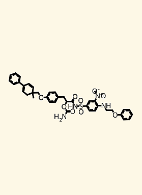 CC1(COc2ccc(CC(OC(N)=O)C(=O)NS(=O)(=O)c3ccc(NCCOc4ccccc4)c([N+](=O)[O-])c3)cc2)C=CC(c2ccccc2)=CC1